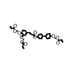 C=CC(=O)OCOc1ccc(-c2ccc(OC(=O)C=Cc3ccc(OCOC(=O)C=C)c(OCOC(=O)C=C)c3)cc2)cc1